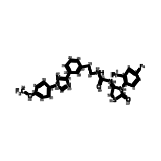 CC(C)c1cc(F)ccc1N1C(=O)SC/C1=N\C(=O)NCCc1cccc(-c2ncn(-c3ccc(OC(F)(F)F)cc3)n2)c1